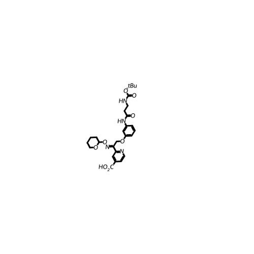 CC(C)(C)OC(=O)NCCC(=O)Nc1cccc(OC/C(=N\OC2CCCCO2)c2cc(C(=O)O)ccn2)c1